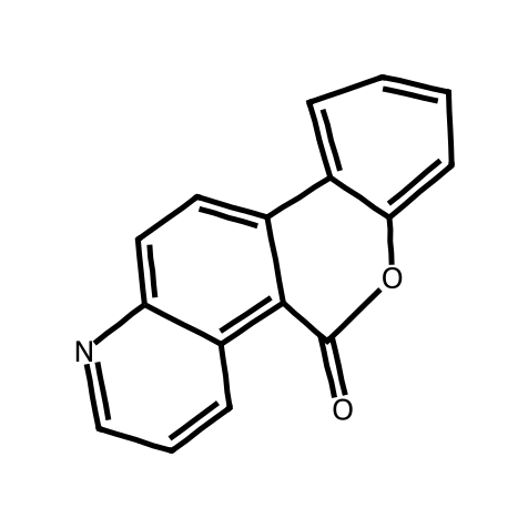 O=c1oc2ccccc2c2ccc3ncccc3c12